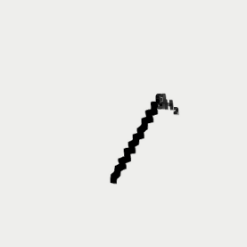 CCCCCCCCCCCCCCCCCCCC[SiH2]Cl